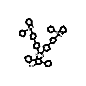 CC(C)(C)c1cc(-c2ccccc2)c2nc(-c3ccc(-c4ccc(-c5nc6ccccc6n5-c5ccccc5)cc4)cc3)c(-c3ccc(-c4ccc(-c5nc6ccccc6n5-c5ccccc5)cc4)cc3)nc2c1-c1ccccc1